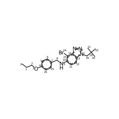 CCCOc1ccc(CNc2ccc3c(nnn3CC(C)(C)C)c2Br)cc1